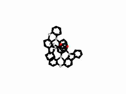 Cc1cccc(N2c3ccccc3Oc3ccc4c5ccccc5n(-c5cccc(-n6c7ccccc7c7ccc8c(c76)N(c6ccccc6)c6ccccc6O8)c5)c4c32)c1